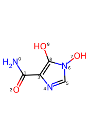 NC(=O)c1ncn(O)c1O